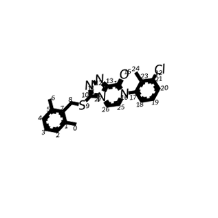 Cc1cccc(C)c1CSc1nnc2c(=O)n(-c3cccc(Cl)c3C)ccn12